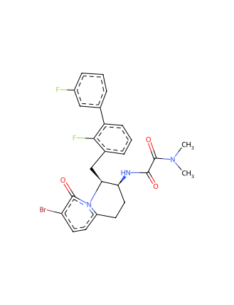 CN(C)C(=O)C(=O)N[C@H]1CCc2ccc(Br)c(=O)n2[C@H]1Cc1cccc(-c2cccc(F)c2)c1F